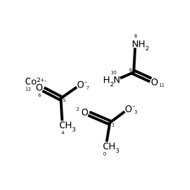 CC(=O)[O-].CC(=O)[O-].NC(N)=O.[Co+2]